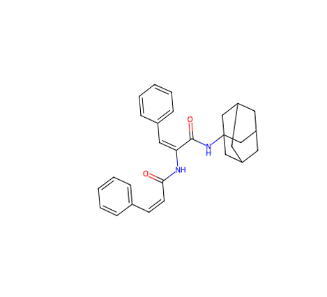 O=C(/C=C\c1ccccc1)NC(=Cc1ccccc1)C(=O)NC12CC3CC(CC(C3)C1)C2